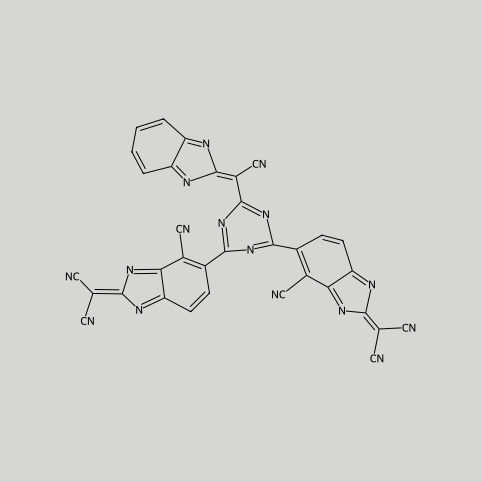 N#CC(C#N)=C1N=c2ccc(-c3nc(C(C#N)=C4N=c5ccccc5=N4)nc(-c4ccc5c(c4C#N)=NC(=C(C#N)C#N)N=5)n3)c(C#N)c2=N1